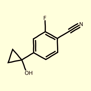 N#Cc1ccc(C2(O)CC2)cc1F